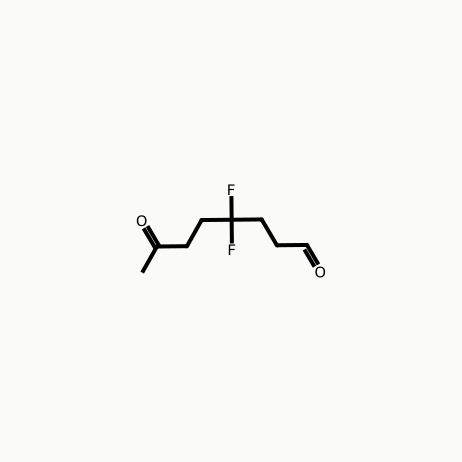 CC(=O)CCC(F)(F)CCC=O